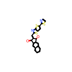 O=C1C(=Cc2nc3sc(-c4nccs4)cc3s2)C(=O)c2cc3ccccc3cc21